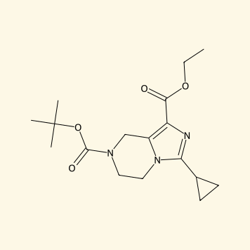 CCOC(=O)c1nc(C2CC2)n2c1CN(C(=O)OC(C)(C)C)CC2